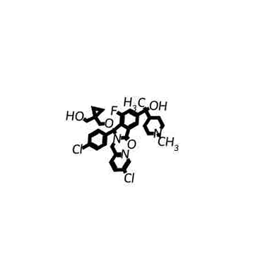 CN1CCC(C(C)(O)c2cc(F)c3c(c2)C(=O)N(Cc2ccc(Cl)cn2)[C@@]3(OCC2(CO)CC2)c2ccc(Cl)cc2)CC1